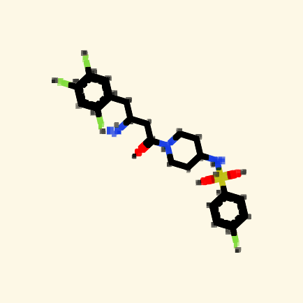 NC(CC(=O)N1CCC(NS(=O)(=O)c2ccc(F)cc2)CC1)Cc1cc(F)c(F)cc1F